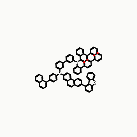 c1ccc(-c2ccc(-c3ccccc3N(c3cccc(-c4cccc(N(c5ccc(-c6cccc7ccccc67)cc5)c5ccc6c(ccc7cc(-c8cccc9sc%10ccccc%10c89)ccc76)c5)c4)c3)c3ccc(-c4ccccc4)c4ccccc34)cc2)cc1